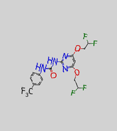 O=C(Nc1ccc(C(F)(F)F)cc1)Nc1nc(OCC(F)F)cc(OCC(F)F)n1